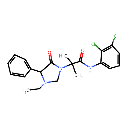 CCN1CN(C(C)(C)C(=O)Nc2cccc(Cl)c2Cl)C(=O)C1c1ccccc1